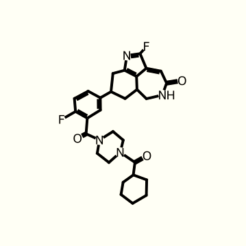 O=C1C=C2C(F)=NC3=C2C(CN1)CC(c1ccc(F)c(C(=O)N2CCN(C(=O)C4CCCCC4)CC2)c1)C3